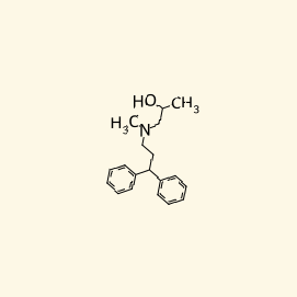 CC(O)CN(C)CCC(c1ccccc1)c1ccccc1